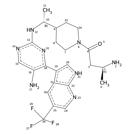 C[C@H](N)CC(=O)N1CCC([C@@H](C)Nc2ncc(N)c(-c3c[nH]c4ncc(C(F)(F)F)cc34)n2)CC1